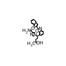 C[C@H](O)CCC(c1cccc2nc(-c3cc4ccccc4s3)oc12)n1cnc(C(N)=O)c1